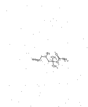 CCCCCCCCC(CC)CC(C)(C)OC(N)=O